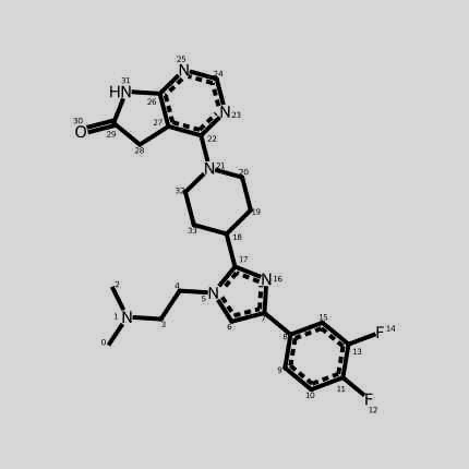 CN(C)CCn1cc(-c2ccc(F)c(F)c2)nc1C1CCN(c2ncnc3c2CC(=O)N3)CC1